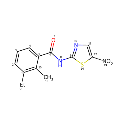 CCc1cccc(C(=O)Nc2ncc([N+](=O)[O-])s2)c1C